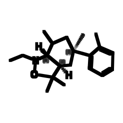 CCN1OC(C)(C)[C@@H]2C[C@](C)(c3ccccc3C)CC(C)[C@H]21